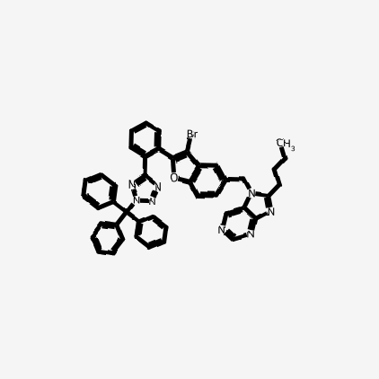 CCCCc1nc2ncncc2n1Cc1ccc2oc(-c3ccccc3-c3nnn(C(c4ccccc4)(c4ccccc4)c4ccccc4)n3)c(Br)c2c1